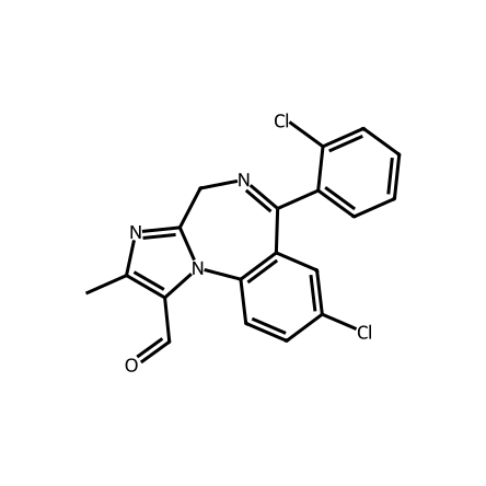 Cc1nc2n(c1C=O)-c1ccc(Cl)cc1C(c1ccccc1Cl)=NC2